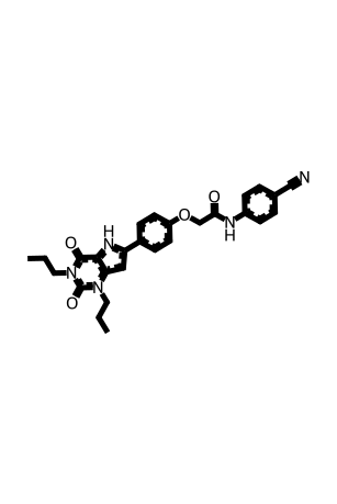 CCCn1c(=O)c2[nH]c(-c3ccc(OCC(=O)Nc4ccc(C#N)cc4)cc3)cc2n(CCC)c1=O